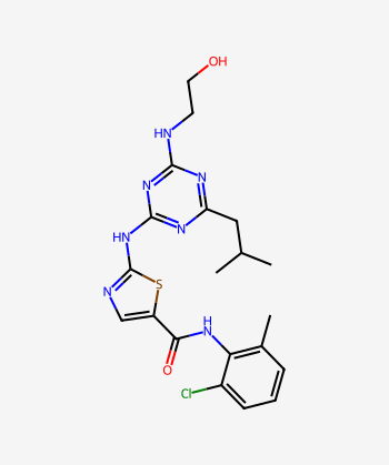 Cc1cccc(Cl)c1NC(=O)c1cnc(Nc2nc(CC(C)C)nc(NCCO)n2)s1